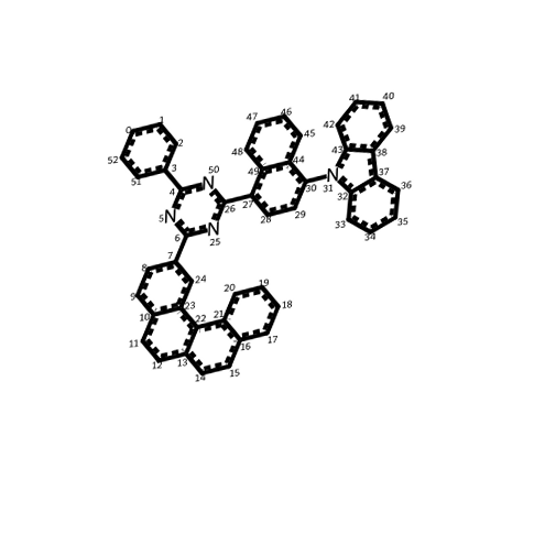 c1ccc(-c2nc(-c3ccc4ccc5ccc6ccccc6c5c4c3)nc(-c3ccc(-n4c5ccccc5c5ccccc54)c4ccccc34)n2)cc1